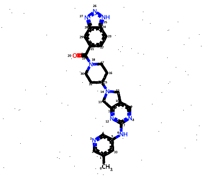 Cc1cncc(Nc2ncc3c(n2)CN(C2CCN(C(=O)c4ccc5[nH]nnc5c4)CC2)C3)c1